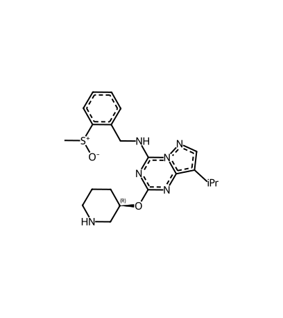 CC(C)c1cnn2c(NCc3ccccc3[S+](C)[O-])nc(O[C@@H]3CCCNC3)nc12